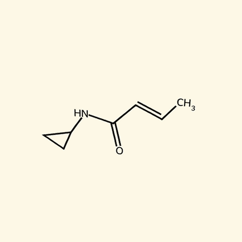 CC=CC(=O)NC1CC1